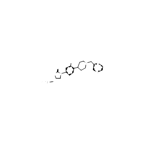 CC(=O)NC[C@H]1CN(c2ccc(C3CCN(Cc4cnccn4)CC3)c(F)c2)C(=O)O1